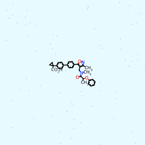 Cc1noc(-c2ccc(-c3ccc(C4(C(=O)O)CC4)cc3)cc2)c1CN(C)C(=O)C(C)Oc1ccccc1